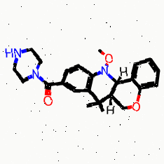 CON1c2ccc(C(=O)N3CCNCC3)cc2C(C)(C)[C@H]2COc3ccccc3[C@H]21